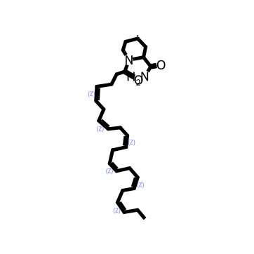 CC/C=C\C/C=C\C/C=C\C/C=C\C/C=C\C/C=C\CCC(=O)N1CC[CH]CC1C(N)=O